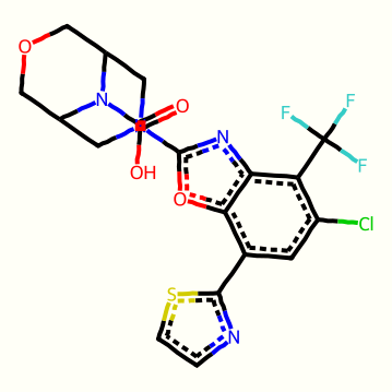 O=C(O)N1C2COCC1CN(c1nc3c(C(F)(F)F)c(Cl)cc(-c4nccs4)c3o1)C2